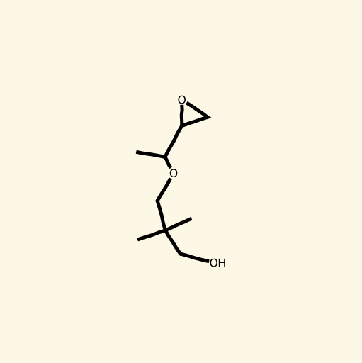 CC(OCC(C)(C)CO)C1CO1